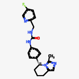 Cc1ncc2n1[C@@H](c1ccc(NC(=O)NCc3ccc(F)cn3)cc1)CCC2